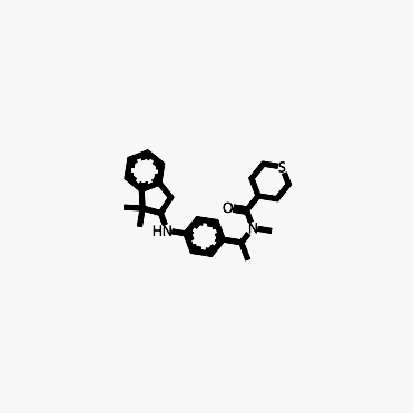 CC(c1ccc(NC2Cc3ccccc3C2(C)C)cc1)N(C)C(=O)C1CCSCC1